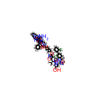 CC(C)[C@@H](C(=O)N1C[C@H](O)C[C@H]1C1=NO[C@@](C)(c2ccc(-c3ccccc3F)cc2)N1)c1onc(O[C@H]2CC3(C2)C[C@H](N2CCC(c4cnc(N5C6CCC5CN(c5cc(-c7ccccc7O)nnc5N)C6)nc4)CC2)C3)c1Cl